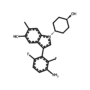 Cc1cc2c(cc1C#N)c(-c1c(F)ccc(N)c1F)cn2[C@H]1CC[C@H](O)CC1